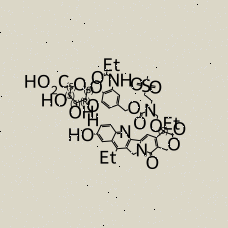 CCC(=O)Nc1cc(COC(=O)N(CCS(C)(=O)=O)CO[C@]2(CC)C(=O)OCc3c2cc2n(c3=O)Cc3c-2nc2ccc(O)cc2c3CC)ccc1O[C@@H]1O[C@H](C(=O)O)[C@@H](O)[C@H](O)[C@H]1O